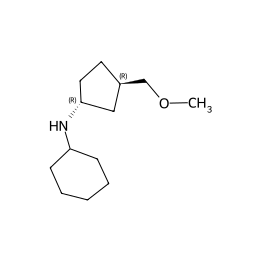 COC[C@@H]1CC[C@@H](NC2CCCCC2)C1